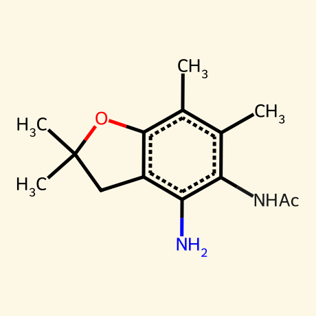 CC(=O)Nc1c(C)c(C)c2c(c1N)CC(C)(C)O2